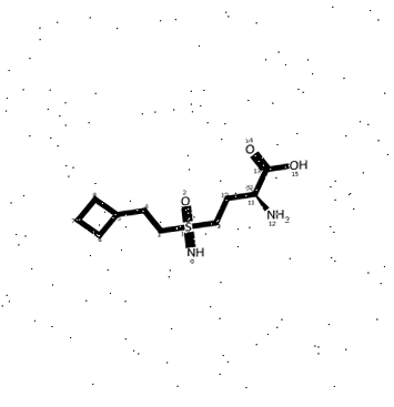 N=S(=O)(CCC1CCC1)CC[C@H](N)C(=O)O